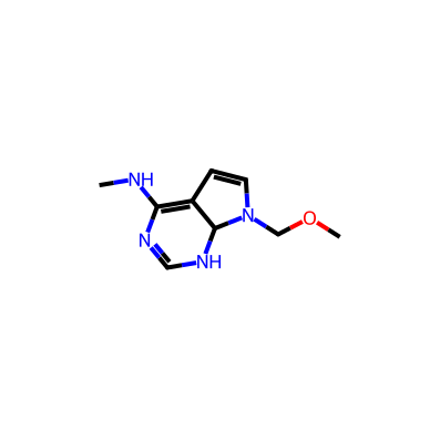 CNC1=C2C=CN(COC)C2NC=N1